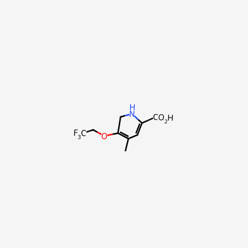 CC1=C(OCC(F)(F)F)CNC(C(=O)O)=C1